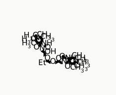 CCC(COCC(O)CN1C(=O)NC2(CC(C)(C)N(C)C(C)(C)C2)C1=O)OCC(O)CN1C(=O)NC2(CC(C)(C)N(C)C(C)(C)C2)C1=O